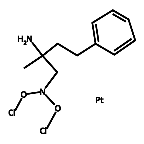 CC(N)(CCc1ccccc1)CN(OCl)OCl.[Pt]